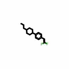 CCCC1CCC(c2ccc(C=C(F)F)cc2)CC1